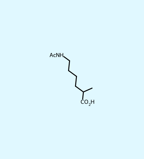 CC(=O)NCCCCC(C)C(=O)O